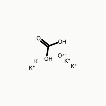 O=C(O)O.[K+].[K+].[K+].[K+].[O-2]